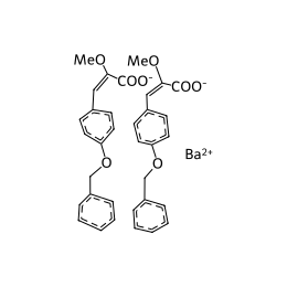 COC(=Cc1ccc(OCc2ccccc2)cc1)C(=O)[O-].COC(=Cc1ccc(OCc2ccccc2)cc1)C(=O)[O-].[Ba+2]